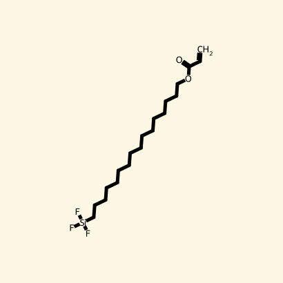 C=CC(=O)OCCCCCCCCCCCCCCCC[Si](F)(F)F